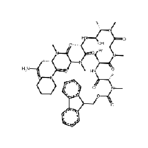 CC(C)C[C@H](NC(=O)[C@H](C)N(C)C(=O)OCC1c2ccccc2-c2ccccc21)C(=O)N(C)CC(=O)N(C)[C@@H](C)C(O)N[C@@H](C)C(=O)N(C)[C@H](C(=O)N(C)[C@@H](CC(N)=O)C(=O)N1CCCCC1)C(C)C